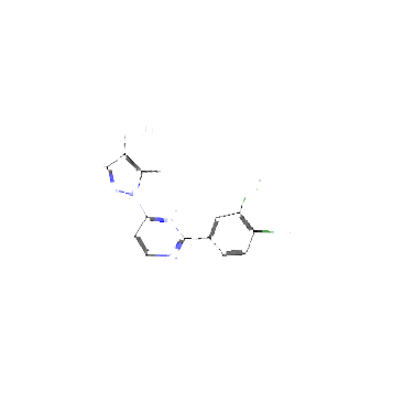 O=C(O)c1cnn(-c2ccnc(-c3ccc(Cl)c(Cl)c3)n2)c1C(F)(F)F